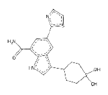 NC(=O)c1cc(-c2nccs2)cc2c(C3CCS(O)(O)CC3)c[nH]c12